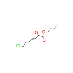 CCCCOC(=O)C(=O)C=CCCCCl